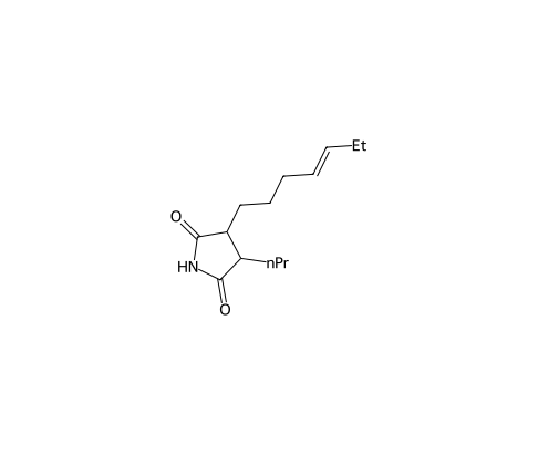 CCC=CCCCC1C(=O)NC(=O)C1CCC